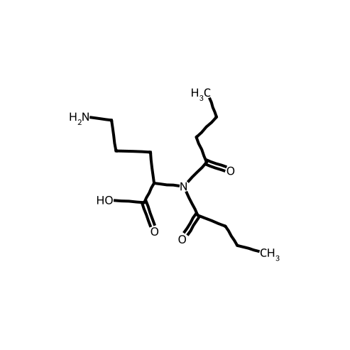 CCCC(=O)N(C(=O)CCC)C(CCCN)C(=O)O